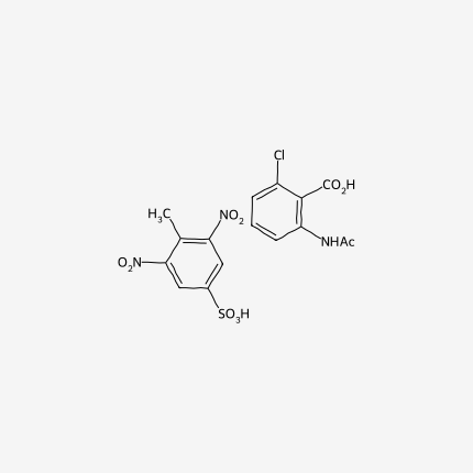 CC(=O)Nc1cccc(Cl)c1C(=O)O.Cc1c([N+](=O)[O-])cc(S(=O)(=O)O)cc1[N+](=O)[O-]